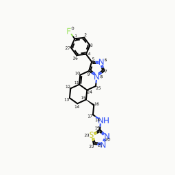 Fc1ccc(-c2ncn3c2C=C2CCC[C@H](CCNc4nncs4)C2C3)cc1